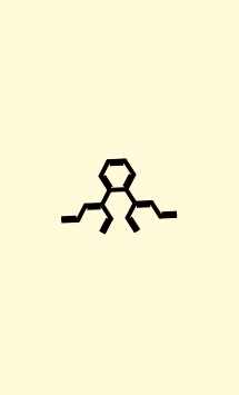 C=C/C=C(\C=C)c1ccccc1/C(C=C)=C/C=C